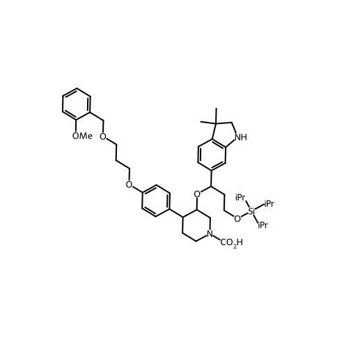 COc1ccccc1COCCCOc1ccc(C2CCN(C(=O)O)CC2OC(CCO[Si](C(C)C)(C(C)C)C(C)C)c2ccc3c(c2)NCC3(C)C)cc1